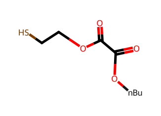 CCCCOC(=O)C(=O)OCCS